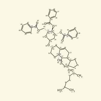 CC(C)CCCC(C)[C@H]1CCC2C3CC=C4C[C@@H](OC5C[C@@H](OC(=O)c6ccccc6)[C@H](OC(=O)c6ccccc6)[C@@H](COC(=O)c6ccccc6)O5)CC[C@]4(C)C3CC[C@@]21C